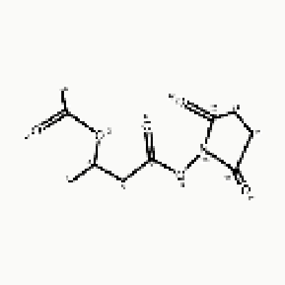 CC(=O)OC(C)CC(=O)ON1C(=O)CCC1=O